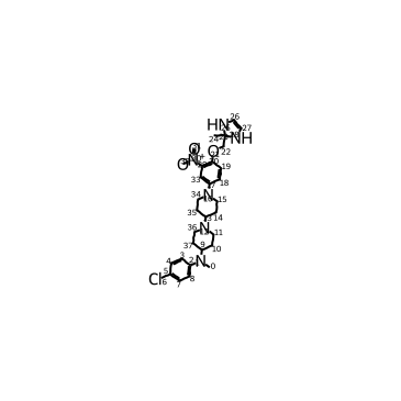 CN(c1ccc(Cl)cc1)C1CCN(C2CCN(c3ccc(OCC4(C)NC=CN4)c([N+](=O)[O-])c3)CC2)CC1